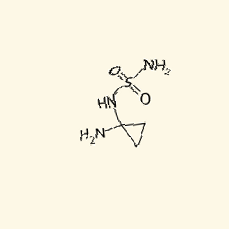 NC1(NS(N)(=O)=O)CC1